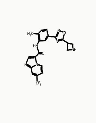 Cc1ccc(-c2noc(C3CNC3)n2)cc1NC(=O)c1cnc2cc(C(F)(F)F)ccn12